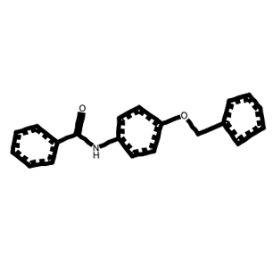 O=C(Nc1ccc(OCc2ccccc2)cc1)c1ccccc1